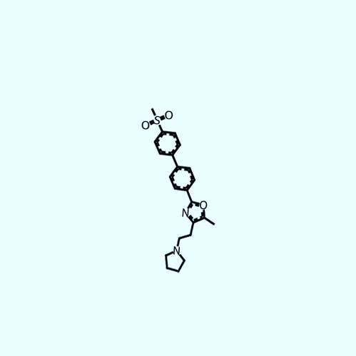 Cc1oc(-c2ccc(-c3ccc(S(C)(=O)=O)cc3)cc2)nc1CCN1CCCC1